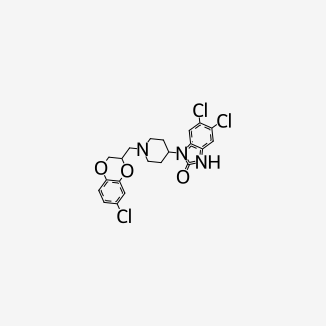 O=c1[nH]c2cc(Cl)c(Cl)cc2n1C1CCN(CC2COc3ccc(Cl)cc3O2)CC1